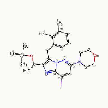 Cc1c(Cc2c(C(C)O[Si](C)(C)C(C)(C)C)nc3c(I)cc(N4CCOCC4)nn23)cccc1C(F)(F)F